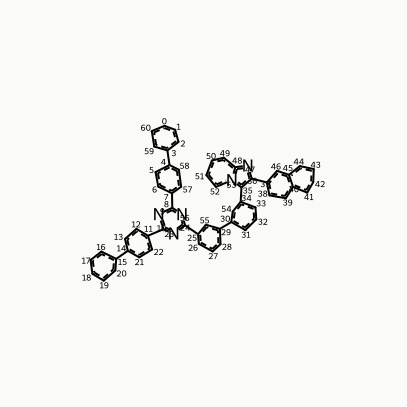 c1ccc(-c2ccc(-c3nc(-c4ccc(-c5ccccc5)cc4)nc(-c4cccc(-c5cccc(-c6c(-c7ccc8ccccc8c7)nc7ccccn67)c5)c4)n3)cc2)cc1